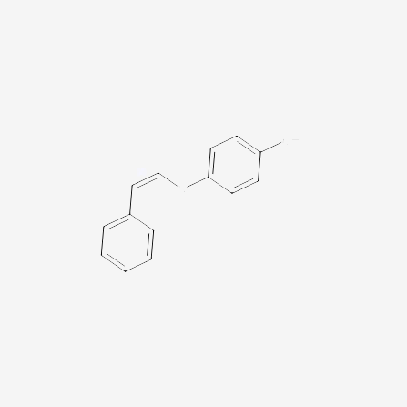 Cc1ccc(S/C=C\c2ccccc2)cc1